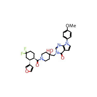 COc1ccc(-n2ccc3c(=O)n(CC4(O)CCN(C(=O)[C@@H]5CCC(F)(F)C[C@H]5c5ccoc5)CC4)cnc32)cc1